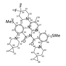 CSc1ccc(C(=O)N(C(=O)c2ccc(SC)cc2N2CCC3(CC2)CC3)c2ncc(C)c(N3CCC(F)(F)CC3)n2)c(N2CCC3(CC2)CC3)c1